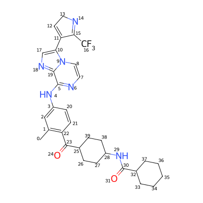 Cc1cc(Nc2nccn3c(C4=CCN=C4C(F)(F)F)cnc23)ccc1C(=O)C1CCC(NC(=O)C2CCCCC2)CC1